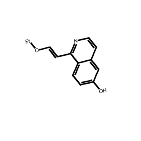 CCOC=Cc1nccc2cc(O)ccc12